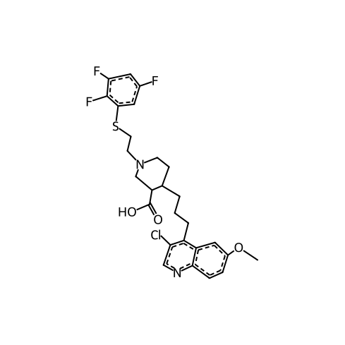 COc1ccc2ncc(Cl)c(CCCC3CCN(CCSc4cc(F)cc(F)c4F)CC3C(=O)O)c2c1